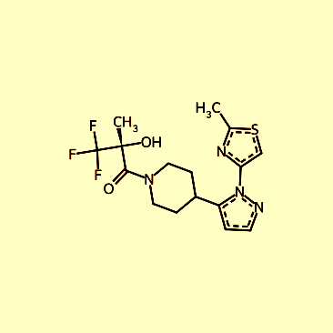 Cc1nc(-n2nccc2C2CCN(C(=O)[C@@](C)(O)C(F)(F)F)CC2)cs1